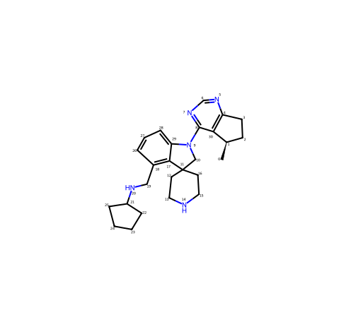 C[C@@H]1CCc2ncnc(N3CC4(CCNCC4)c4c(CNC5CCCC5)cccc43)c21